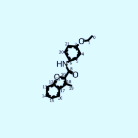 CCOc1ccc(NC(=O)c2oc3ccccc3c2C)cc1